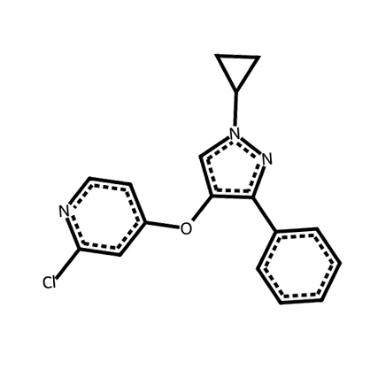 Clc1cc(Oc2cn(C3CC3)nc2-c2ccccc2)ccn1